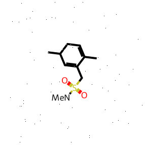 CNS(=O)(=O)CC1=CC(C)CC=C1C